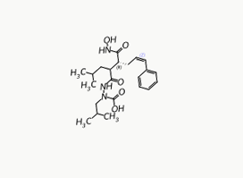 CC(C)CC(C(=O)NN(CC(C)C)C(=O)O)[C@@H](C/C=C\c1ccccc1)C(=O)NO